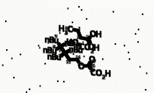 CCCC(=O)O.CCCCC(CCCC)(CCCC)C(CCCC)(CCCC)CCOC(=O)C(=O)O.O=C(O)O